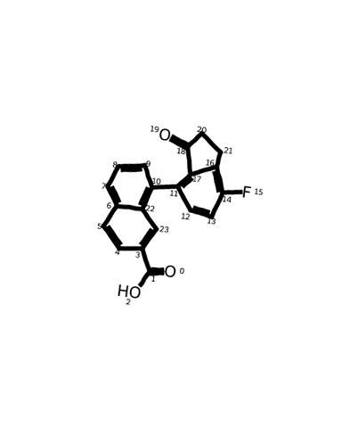 O=C(O)c1ccc2cccc(-c3ccc(F)c4c3C(=O)CC4)c2c1